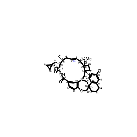 CO[C@H]1/C=C/C[C@@H](C)[C@@H](CC2CC2)S(=O)(=O)NC(=O)c2ccc3c(c2)N(C[C@@H]2CC[C@H]21)C[C@@]1(CCCc2cc(Cl)ccc21)CO3